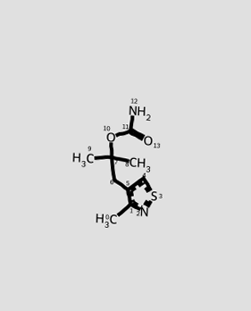 Cc1nscc1CC(C)(C)OC(N)=O